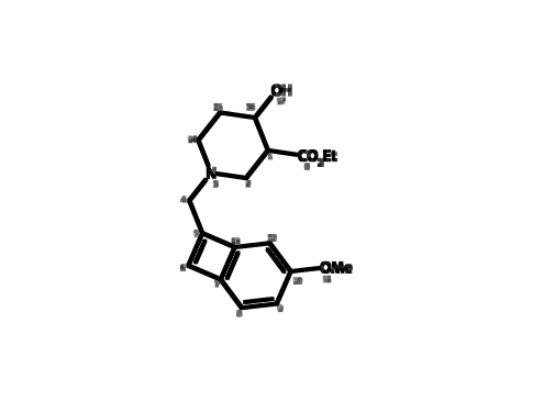 CCOC(=O)C1CN(CC2=Cc3ccc(OC)cc32)CCC1O